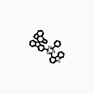 c1ccc(-c2nc(-c3ccc4c(c3)C3(c5ccccc5-4)c4ccccc4-c4cccc5cccc3c45)nc(-c3cccc4sc5ccccc5c34)n2)cc1